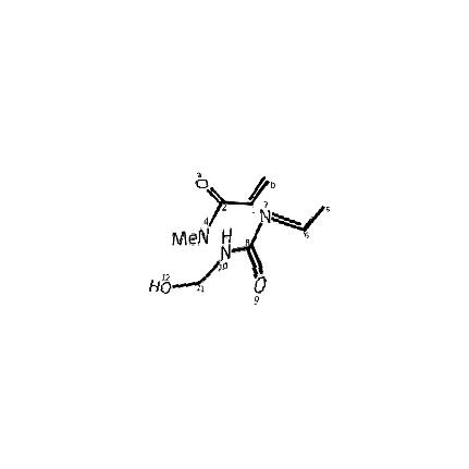 C=CC(=O)NC.CC=NC(=O)NCO